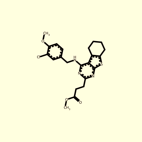 COC(=O)CCc1nc(NCc2ccc(OC)c(Cl)c2)c2c3c(sc2n1)CCCC3